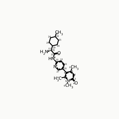 Cc1cc(=O)n(C)c(C)c1-c1ccc(NC(=O)[C@@H](N)C2CCC(C)CC2)nc1